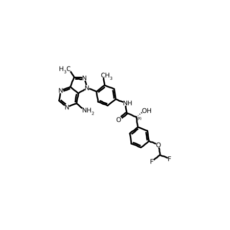 Cc1cc(NC(=O)[C@H](O)c2cccc(OC(F)F)c2)ccc1-n1nc(C)c2ncnc(N)c21